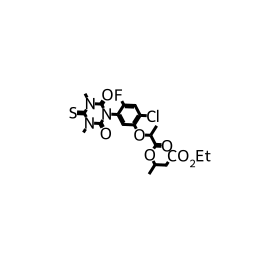 CCOC(=O)CC(C)OC(=O)C(C)Oc1cc(-n2c(=O)n(C)c(=S)n(C)c2=O)c(F)cc1Cl